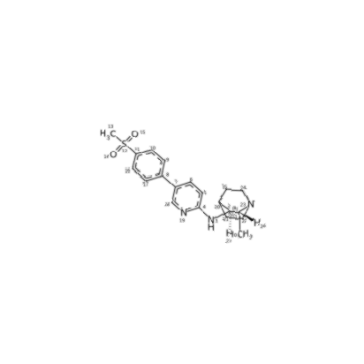 C[C@@H]1[C@@H](Nc2ccc(-c3ccc(S(C)(=O)=O)cc3)cn2)C2CCN1CC2